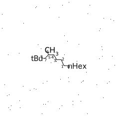 CCCCCCCC[CH]CC(C)CC(C)(C)C